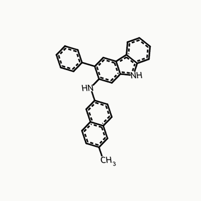 Cc1ccc2cc(Nc3cc4[nH]c5ccccc5c4cc3-c3ccccc3)ccc2c1